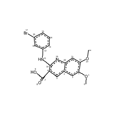 COc1cc2cc(C(=O)O)c(Nc3cccc(Br)c3)nc2cc1OC